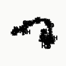 CNc1nc(-c2cnc3ccccc3c2)nc2c1CCN(C(=O)c1ccc(/C=C/c3ccc(C#CCN4CCN(C(=O)CCCCCCC(=O)N[C@H](C(=O)N5C[C@H](OC)C[C@H]5C(=O)N[C@@H](C)c5ccc(-c6scnc6C)cc5)C(C)(C)C)CC4)cc3)cc1)C2